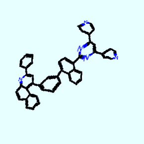 c1ccc(-c2cc(-c3cccc(-c4ccc(-c5nc(-c6ccncc6)cc(-c6ccncc6)n5)c5ccccc45)c3)c3c(ccc4ccccc43)n2)cc1